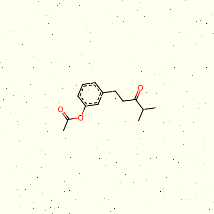 CC(=O)Oc1cccc(CCC(=O)C(C)C)c1